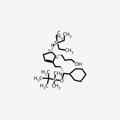 CC[Si](CC)(CC)O[C@H]1CC=C(CC[C@@H](O[Si](C)(C)C(C)(C)C)C2CCCCC2)[C@H]1CCCO